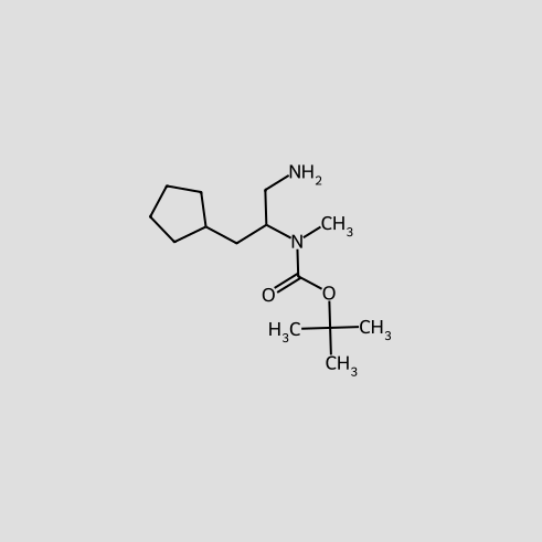 CN(C(=O)OC(C)(C)C)C(CN)CC1CCCC1